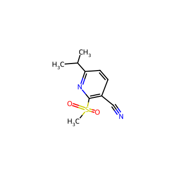 CC(C)c1ccc(C#N)c(S(C)(=O)=O)n1